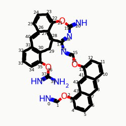 N=COc1cccc2cc3cccc(O/C=N/C4=NC(=N)Oc5cccc6c5=C4Cc4c(cccc4OC(=N)N)C=6)c3cc12